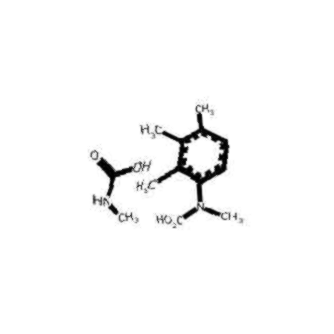 CNC(=O)O.Cc1ccc(N(C)C(=O)O)c(C)c1C